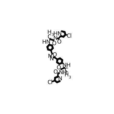 C[C@H](Nc1ccc(-c2nnc(-c3ccc(N[C@@H](C)C(=O)NC(=O)c4cc(Cl)ccn4)cc3)o2)cc1)C(=O)NC(=O)c1cc(Cl)ccn1